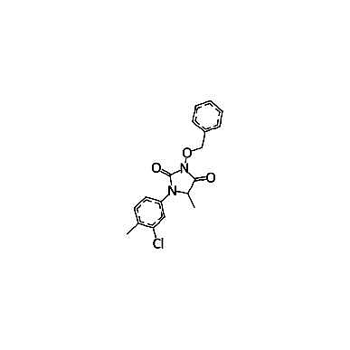 Cc1ccc(N2C(=O)N(OCc3ccccc3)C(=O)C2C)cc1Cl